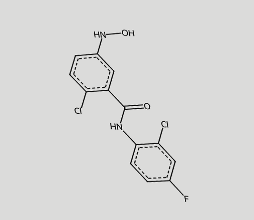 O=C(Nc1ccc(F)cc1Cl)c1cc(NO)ccc1Cl